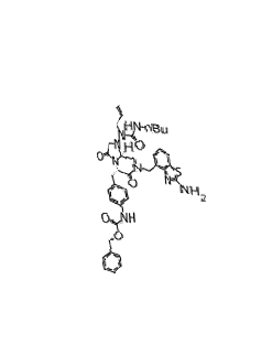 C=CCN(C(=O)NCCCC)N1CC(=O)N2[C@@H](Cc3ccc(NC(=O)OCc4ccccc4)cc3)C(=O)N(Cc3cccc4sc(N)nc34)C[C@@H]21